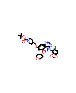 CC(C)(C)OC(=O)N1CCC(COc2cc(OC3CCOCC3)c3c(Nc4c(Cl)ccc5c4OCO5)ncnc3c2)CC1